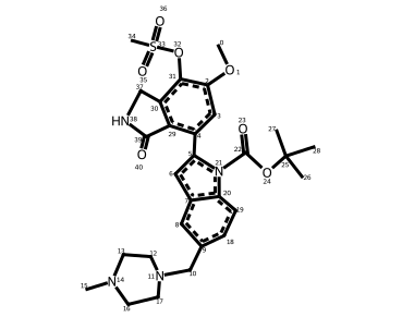 COc1cc(-c2cc3cc(CN4CCN(C)CC4)ccc3n2C(=O)OC(C)(C)C)c2c(c1OS(C)(=O)=O)CNC2=O